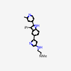 CNCCNc1cncc(-c2ccc3[nH]c(-c4ccnc(C)c4)c(C(C)C)c3c2)c1